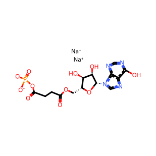 O=C(CCC(=O)OP(=O)([O-])[O-])OC[C@H]1O[C@@H](n2cnc3c(O)ncnc32)[C@H](O)[C@@H]1O.[Na+].[Na+]